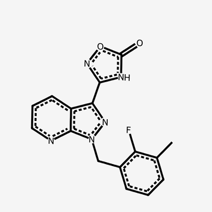 Cc1cccc(Cn2nc(-c3noc(=O)[nH]3)c3cccnc32)c1F